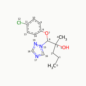 CCCC(C)(O)C(Oc1ccc(Cl)cc1)n1cncn1